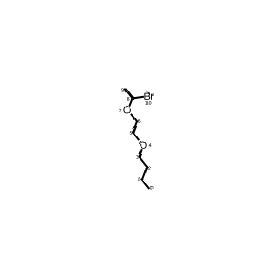 CCCCOCCOC(C)Br